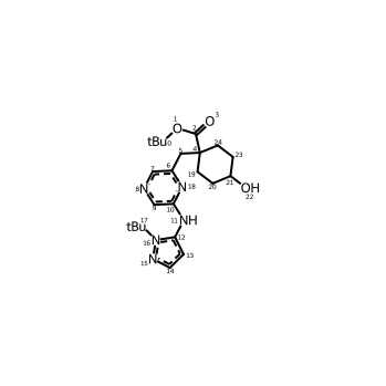 CC(C)(C)OC(=O)C1(Cc2cncc(Nc3ccnn3C(C)(C)C)n2)CCC(O)CC1